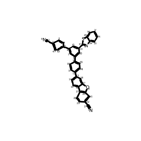 N#Cc1ccc(-c2cc(-c3ccc(-c4ccc5c(c4)oc4cc(C#N)ccc45)cc3)cc(-c3nc4ccccc4s3)c2)cc1